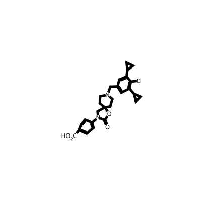 O=C(O)c1ccc(N2CC3(CCN(Cc4cc(C5CC5)c(Cl)c(C5CC5)c4)CC3)OC2=O)cc1